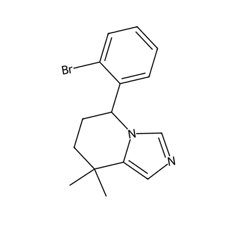 CC1(C)CCC(c2ccccc2Br)n2cncc21